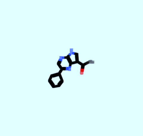 CC(C)(C)C(=O)c1c[nH]c2ncc(-c3ccccc3)nc12